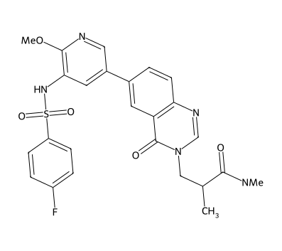 CNC(=O)C(C)Cn1cnc2ccc(-c3cnc(OC)c(NS(=O)(=O)c4ccc(F)cc4)c3)cc2c1=O